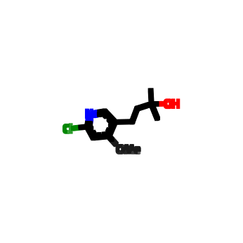 COc1cc(Cl)ncc1CCC(C)(C)O